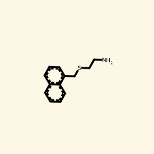 NCCSCc1cccc2ccccc12